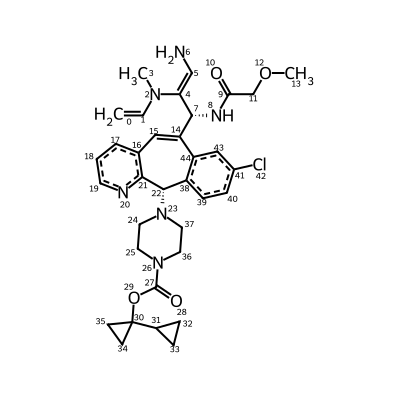 C=CN(C)/C(=C\N)[C@H](NC(=O)COC)C1=Cc2cccnc2[C@@H](N2CCN(C(=O)OC3(C4CC4)CC3)CC2)c2ccc(Cl)cc21